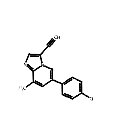 C#Cc1cnc2c(C)cc(-c3ccc(Cl)cc3)cn12